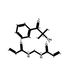 C=CC(=O)NCNC(=O)C=C.CC(C)(O)C(=O)c1ccccc1